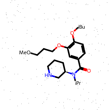 CCC(C)Oc1ccc(C(=O)N(C(C)C)[C@@H]2CCCNC2)cc1OCCCOC